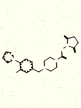 O=C(ON1C(=O)CCC1=O)N1CCN(Cc2ccc(-n3cccn3)c(F)c2)CC1